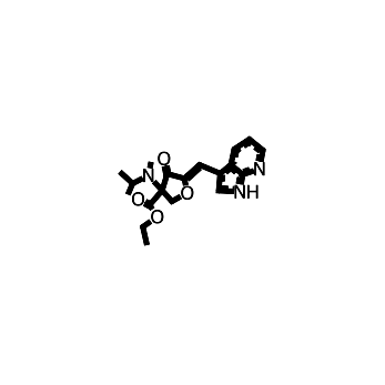 CCOC(=O)C1(N(C)C(C)C)CO/C(=C\c2c[nH]c3ncccc23)C1=O